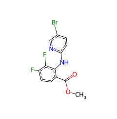 COC(=O)c1ccc(F)c(F)c1Nc1ccc(Br)cn1